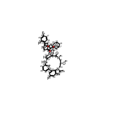 CO[C@H]1CN(C)C(=O)[C@@H]2C[C@@H](CN2c2nc(N3C4CC3CN(C(=O)C3CCO3)C4)nc3c2cnn3-c2ccc(F)cc2F)Nc2cccc(n2)-c2cc(F)cc3nc(C)n(c23)C1